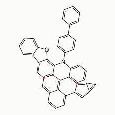 C1=c2cccc(-c3cc4cc-4c3)c2=C(c2ccccc2N(c2ccc(-c3ccccc3)cc2)c2cccc3c2oc2ccccc23)CC1